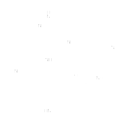 O=C(CC1CCNCC1)Nc1cncc(-c2ccc3[nH]nc(-c4cc5ncccc5[nH]4)c3n2)c1